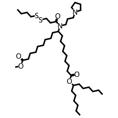 CCCCCCC(CCCCCC)OC(=O)CCCCCCCCC(CCCCCCCCC(=O)OC)N(CCCN1CCCC1)C(=O)CCSSCCCC